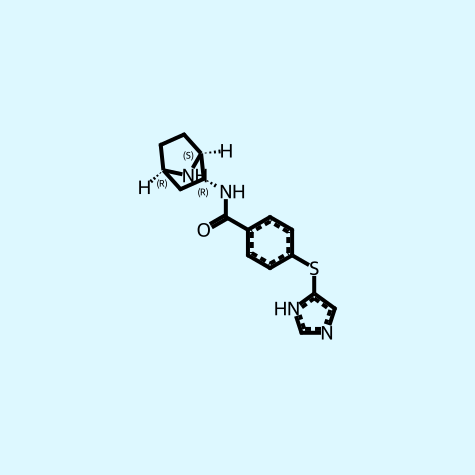 O=C(N[C@@H]1C[C@H]2CC[C@@H]1N2)c1ccc(Sc2cnc[nH]2)cc1